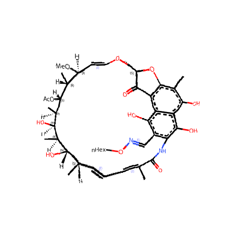 CCCCCCO/N=C/c1c2c(O)c3c(O)c(C)c4c(c3c1O)C(=O)[C@@](C)(O/C=C/[C@H](OC)[C@@H](C)[C@@H](OC(C)=O)[C@H](C)[C@H](O)[C@H](C)[C@@H](O)[C@@H](C)/C=C/C=C(/C)C(=O)N2)O4